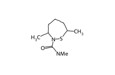 CNC(=O)N1SC(C)CCCC1C